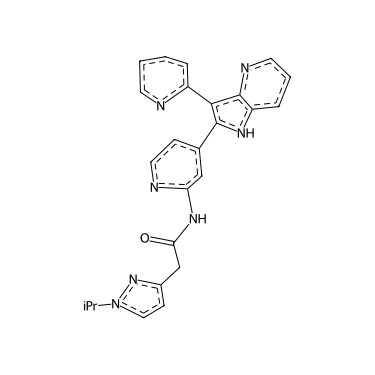 CC(C)n1ccc(CC(=O)Nc2cc(-c3[nH]c4cccnc4c3-c3ccccn3)ccn2)n1